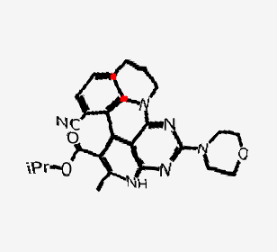 CC1=C(C(=O)OC(C)C)C(c2ccccc2C#N)c2c(nc(N3CCOCC3)nc2N2CCCCC2)N1